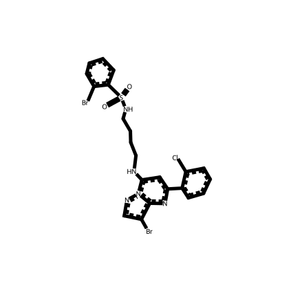 O=S(=O)(NCCCCNc1cc(-c2ccccc2Cl)nc2c(Br)cnn12)c1ccccc1Br